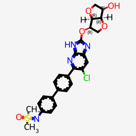 CS(C)(=O)=Nc1ccc(-c2ccc(-c3nc4[nH]c(O[C@@H]5CO[C@H]6[C@@H]5OC[C@H]6O)nc4cc3Cl)cc2)cc1